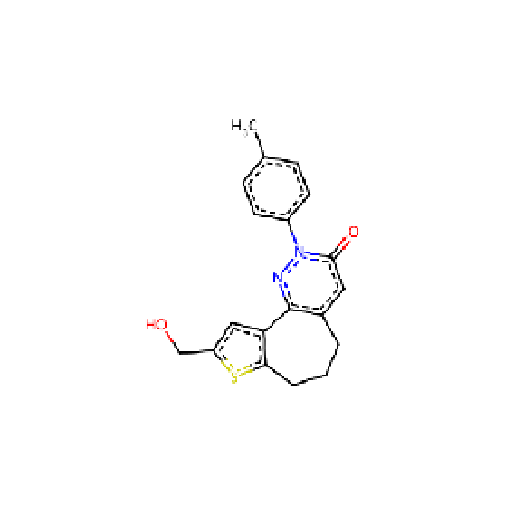 Cc1ccc(-n2nc3c(cc2=O)CCCc2sc(CO)cc2-3)cc1